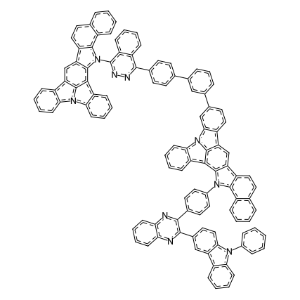 c1ccc(-n2c3ccccc3c3cc(-c4nc5ccccc5nc4-c4ccc(-n5c6c7ccccc7ccc6c6cc7c8ccc(-c9cccc(-c%10ccc(-c%11nnc(-n%12c%13c%14ccccc%14ccc%13c%13cc%14c%15ccccc%15n%15c%16ccccc%16c(c%13%12)c%14%15)c%12ccccc%11%12)cc%10)c9)cc8n8c9ccccc9c(c65)c78)cc4)ccc32)cc1